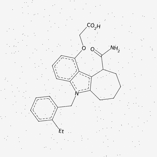 CCc1ccccc1Cn1c2c(c3c(OCC(=O)O)cccc31)C(C(N)=O)CCCC2